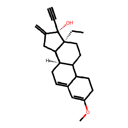 C#C[C@]1(O)C(=C)CC2[C@@H]3CC=C4C=C(OC)CCC4C3CC[C@@]21CC